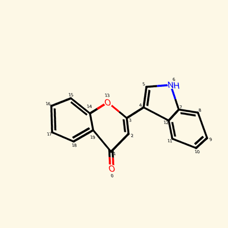 O=c1cc(-c2c[nH]c3ccccc23)oc2ccccc12